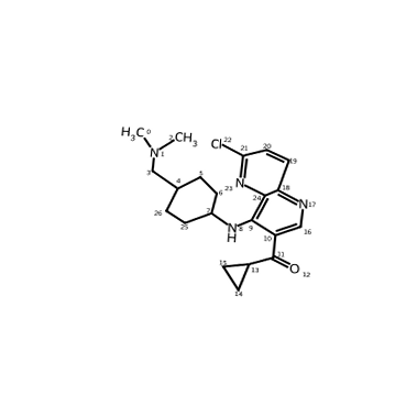 CN(C)CC1CCC(Nc2c(C(=O)C3CC3)cnc3ccc(Cl)nc23)CC1